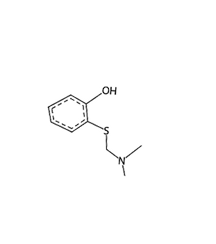 CN(C)CSc1ccccc1O